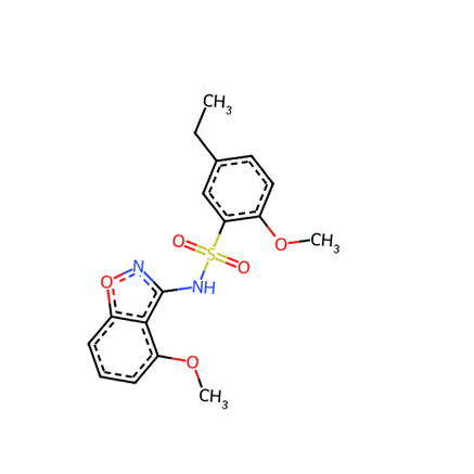 CCc1ccc(OC)c(S(=O)(=O)Nc2noc3cccc(OC)c23)c1